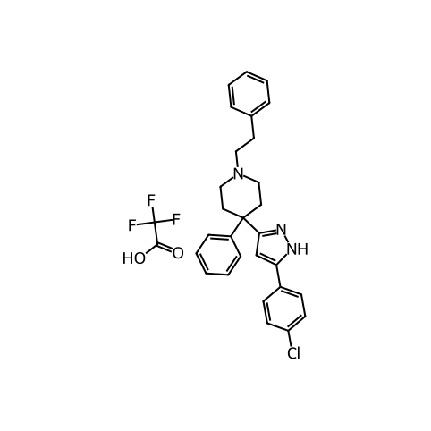 Clc1ccc(-c2cc(C3(c4ccccc4)CCN(CCc4ccccc4)CC3)n[nH]2)cc1.O=C(O)C(F)(F)F